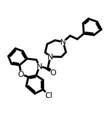 O=C(N1CCCN(CCc2ccccc2)CC1)N1Cc2ccccc2Oc2ccc(Cl)cc21